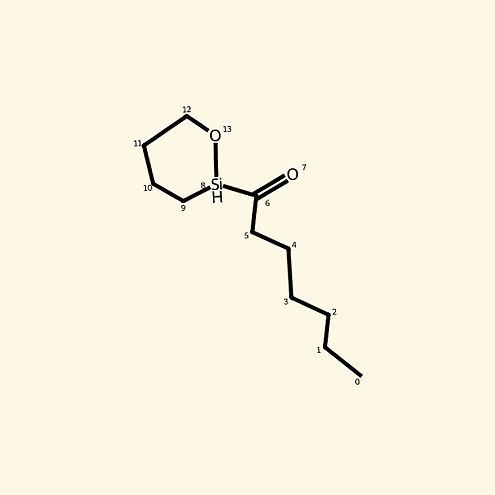 CCCCCCC(=O)[SiH]1CCCCO1